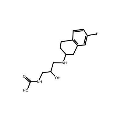 O=C(O)NCC(O)CNC1CCc2ccc(F)cc2C1